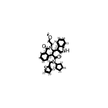 COCCN1C(=O)c2ccccc2C(C(=O)N(Cc2cccs2)C2CCCC2)C1c1c[nH]c2ccccc12